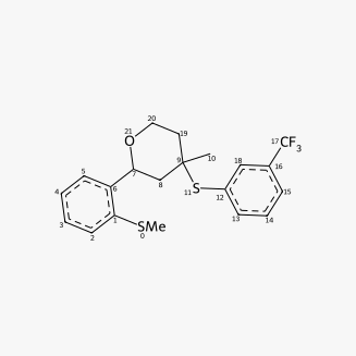 CSc1ccccc1C1CC(C)(Sc2cccc(C(F)(F)F)c2)CCO1